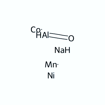 [Co].[Mn].[NaH].[Ni].[O]=[AlH]